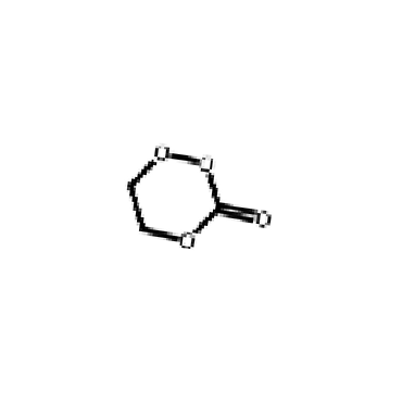 O=C1OCCOO1